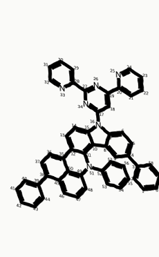 c1ccc(-c2ccc3c(c2)c2c4c(ccc2n3-c2cc(-c3ccccn3)nc(-c3ccccn3)n2)-c2ccc(-c3ccccc3)c3cccc(c23)N4c2ccccc2)cc1